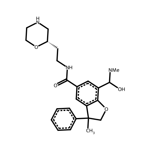 CNC(O)c1cc(C(=O)NCC[C@H]2CNCCO2)cc2c1OCC2(C)c1ccccc1